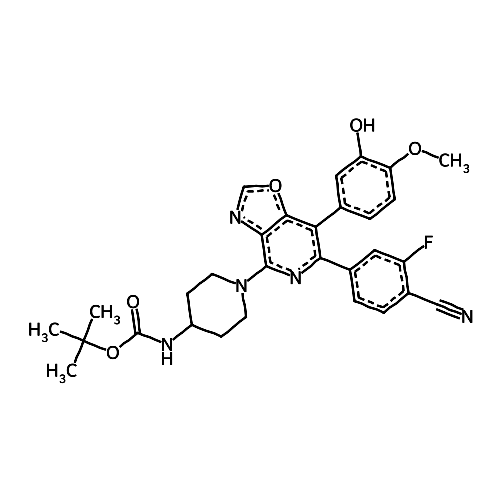 COc1ccc(-c2c(-c3ccc(C#N)c(F)c3)nc(N3CCC(NC(=O)OC(C)(C)C)CC3)c3ncoc23)cc1O